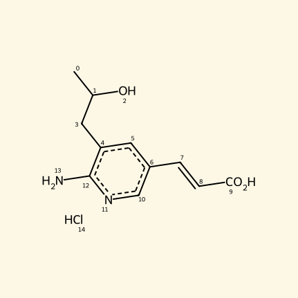 CC(O)Cc1cc(C=CC(=O)O)cnc1N.Cl